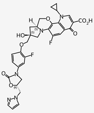 O=C(O)c1cn(C2CC2)c2c3c(c(F)cc2c1=O)N1C[C@](O)(COc2ccc(N4C[C@H](Cn5cccn5)OC4=O)cc2F)C[C@H]1CO3